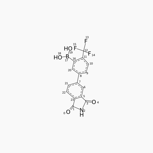 O=C1NC(=O)c2cc(-c3ccc(C(F)(F)F)c(B(O)O)c3)ccc21